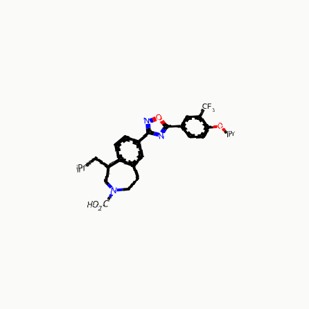 CC(C)CC1CN(C(=O)O)CCc2cc(-c3noc(-c4ccc(OC(C)C)c(C(F)(F)F)c4)n3)ccc21